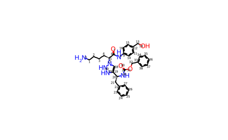 NCCCC[C@@H](C(=O)Nc1ccc(CO)cc1)N1C=C([C@H](Cc2ccccc2)NC(=O)OCc2ccccc2)NN1